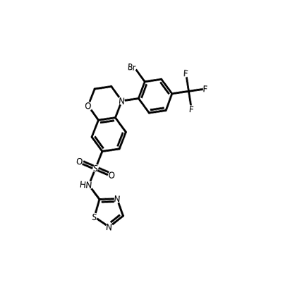 O=S(=O)(Nc1ncns1)c1ccc2c(c1)OCCN2c1ccc(C(F)(F)F)cc1Br